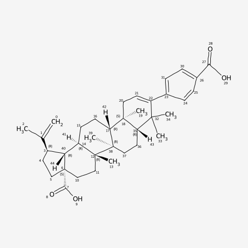 C=C(C)[C@@H]1CC[C@]2(C(=O)O)CC[C@]3(C)[C@H](CC[C@@H]4[C@@]5(C)CC=C(c6ccc(C(=O)O)cc6)C(C)(C)[C@@H]5CC[C@]43C)[C@@H]12